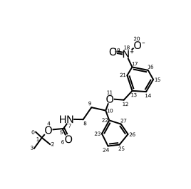 CC(C)(C)OC(=O)NCCC(OCc1cccc([N+](=O)[O-])c1)c1ccccc1